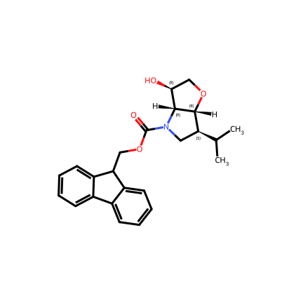 CC(C)[C@H]1CN(C(=O)OCC2c3ccccc3-c3ccccc32)[C@H]2[C@@H]1OC[C@@H]2O